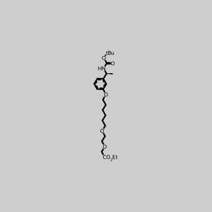 CCOC(=O)COCCOCCCCCCOc1cccc([C@H](C)NC(=O)OC(C)(C)C)c1